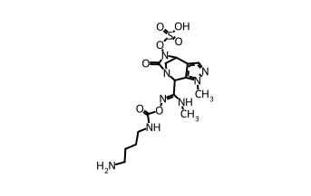 CN/C(=N\OC(=O)NCCCCN)C1c2c(cnn2C)C2CN1C(=O)N2OS(=O)(=O)O